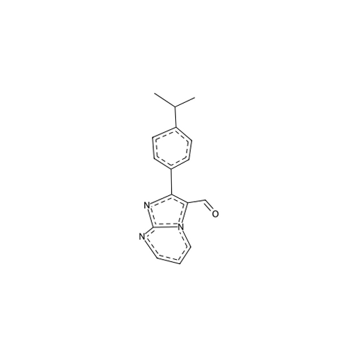 CC(C)c1ccc(-c2nc3ncccn3c2C=O)cc1